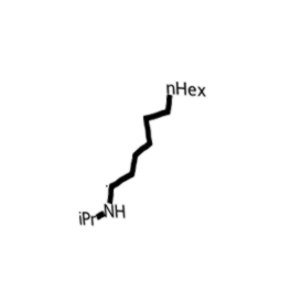 CCCCCCCCCCC[CH]NC(C)C